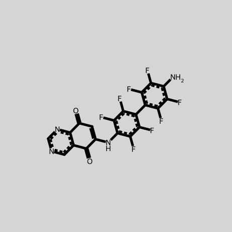 Nc1c(F)c(F)c(-c2c(F)c(F)c(NC3=CC(=O)c4ncncc4C3=O)c(F)c2F)c(F)c1F